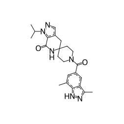 Cc1n[nH]c2c(C)cc(C(=O)N3CCC4(CC3)Cc3cnn(C(C)C)c3C(=O)N4)cc12